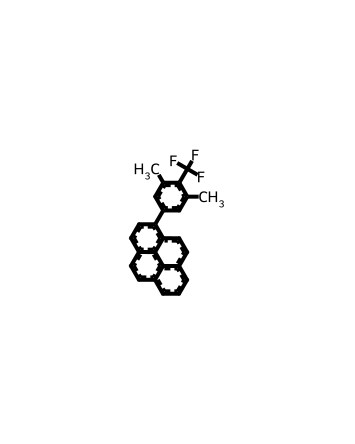 Cc1cc(-c2ccc3ccc4cccc5ccc2c3c45)cc(C)c1C(F)(F)F